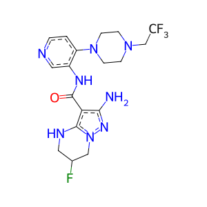 Nc1nn2c(c1C(=O)Nc1cnccc1N1CCN(CC(F)(F)F)CC1)NCC(F)C2